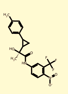 Cc1ccc(C2CC2[C@](C)(O)C(=O)Nc2ccc([N+](=O)[O-])c(C(F)(F)F)c2)cc1